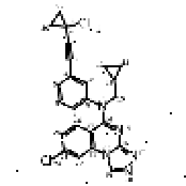 CC1(C#Cc2cccc(N(CC3CC3)c3nc4nncn4c4cc(Cl)ccc34)c2)CC1